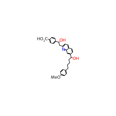 COc1ccc(CCCCC(O)c2ccc3ccc(CC(O)c4ccc(C(=O)O)cc4)nc3c2)cc1